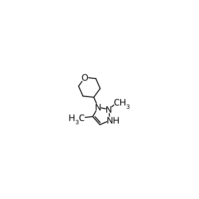 CC1=CNN(C)N1C1CCOCC1